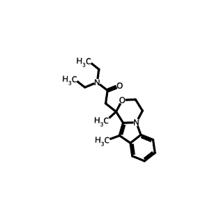 CCN(CC)C(=O)CC1(C)OCCn2c1c(C)c1ccccc12